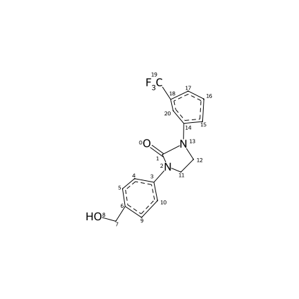 O=C1N(c2ccc(CO)cc2)CCN1c1cccc(C(F)(F)F)c1